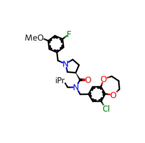 COc1cc(F)cc(CN2CC[C@@H](C(=O)N(Cc3cc(Cl)c4c(c3)OCCCO4)CC(C)C)C2)c1